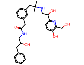 CC(C)(Cc1cccc(CC(=O)NCC(O)Cc2ccccc2)c1)NCC(O)c1ccc(O)c(CO)n1